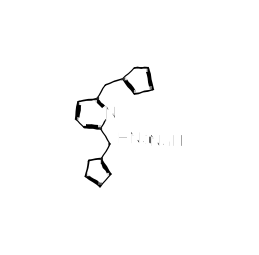 C1=CCC(Cc2cccc(CC3=CC=CC3)n2)=C1.[NaH].[NaH]